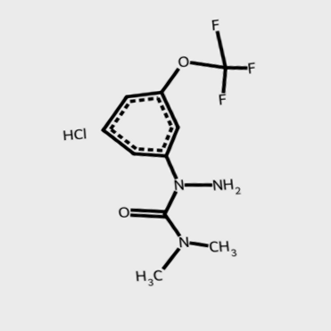 CN(C)C(=O)N(N)c1cccc(OC(F)(F)F)c1.Cl